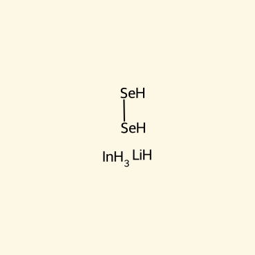 [InH3].[LiH].[SeH][SeH]